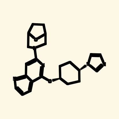 c1cnc2cc(N3CC4CCC(C3)O4)nc(O[C@H]3CC[C@@H](n4ccnc4)CC3)c2c1